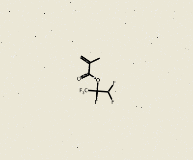 C=C(C)C(=O)OC(F)(C(F)F)C(F)(F)F